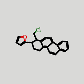 ClCC1c2ccc3c(ccc4ccccc43)c2CCC1c1ccco1